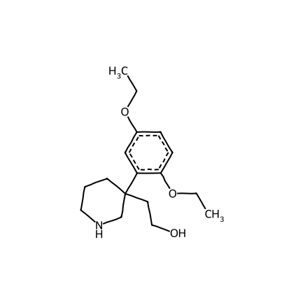 CCOc1ccc(OCC)c(C2(CCO)CCCNC2)c1